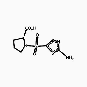 Nc1ncc(S(=O)(=O)N2CCC[C@H]2C(=O)O)s1